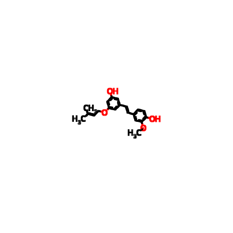 COc1cc(/C=C/c2cc(O)cc(OCC=C(C)C)c2)ccc1O